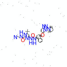 C[C@@H]1CCC[C@H](C)N1c1nnc2ccc(O[C@@H]3CC[C@H](NC(=O)Nc4cc(C(C)(C)C)nc(C(=O)NCCN(C)C)n4)c4ccccc43)cn12